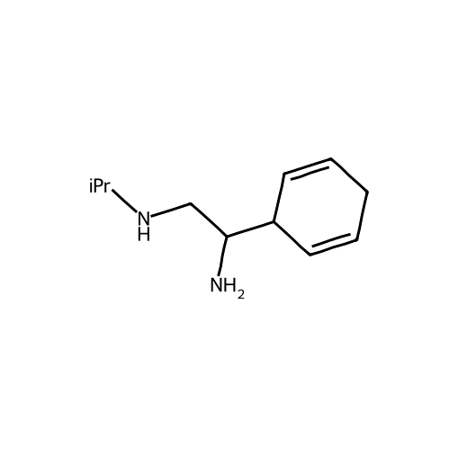 CC(C)NCC(N)C1C=CCC=C1